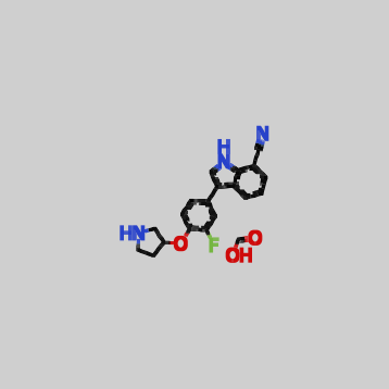 N#Cc1cccc2c(-c3ccc(OC4CCNC4)c(F)c3)c[nH]c12.O=CO